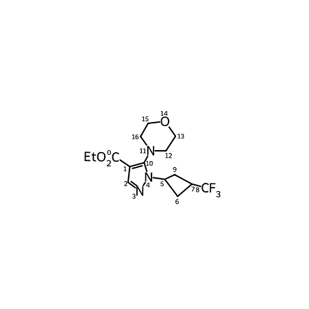 CCOC(=O)c1cnn(C2CC(C(F)(F)F)C2)c1N1CCOCC1